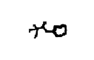 FC(F)(F)N(Cl)Cc1ccccc1